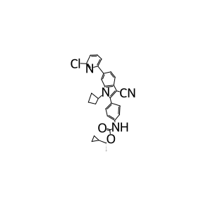 C[C@@H](OC(=O)Nc1ccc(-c2c(C#N)c3ccc(-c4cccc(Cl)n4)cc3n2C2CCC2)cc1)C1CC1